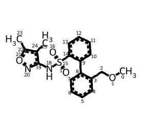 COCc1ccccc1-c1ccccc1S(=O)(=O)Nc1noc(C)c1C